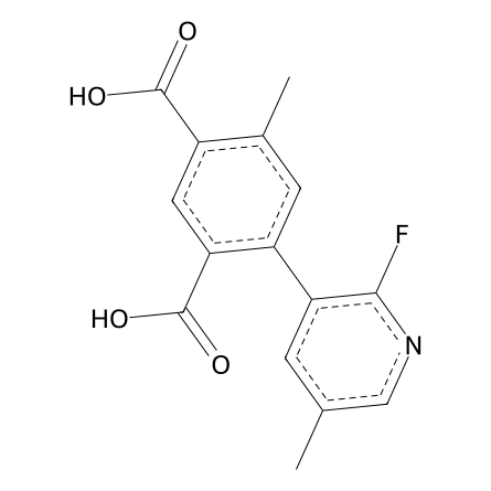 Cc1cnc(F)c(-c2cc(C)c(C(=O)O)cc2C(=O)O)c1